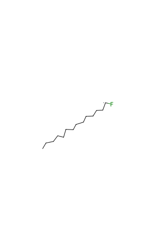 CCCCCCCCCCCCC[CH]F